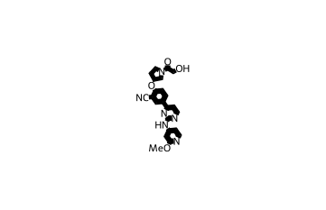 COc1cc(Nc2nccc(-c3ccc(O[C@@H]4CCN(C(=O)CO)C4)c(C#N)c3)n2)ccn1